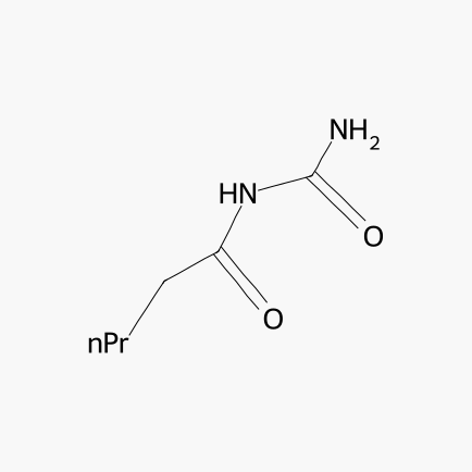 CCCCC(=O)NC(N)=O